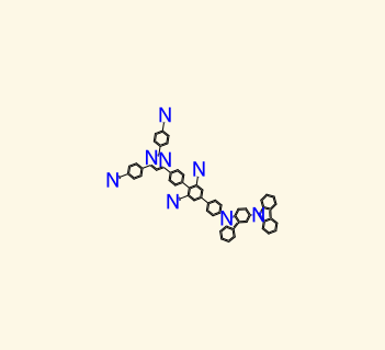 N#Cc1ccc(-c2cc(-c3ccc(-c4c(C#N)cc(-c5ccc(-n6c7ccccc7c7cc(-n8c9ccccc9c9ccccc98)ccc76)cc5)cc4C#N)cc3)nc(-c3ccc(C#N)cc3)n2)cc1